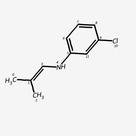 CC(C)=CNc1cccc(Cl)c1